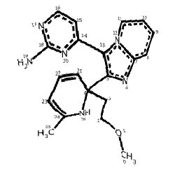 COCCC1(c2nc3ccccn3c2-c2ccnc(N)n2)C=CC=C(C)N1